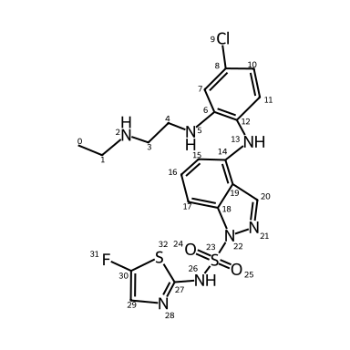 CCNCCNc1cc(Cl)ccc1Nc1cccc2c1cnn2S(=O)(=O)Nc1ncc(F)s1